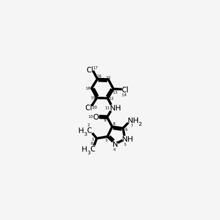 CC(C)c1n[nH]c(N)c1C(=O)Nc1c(Cl)cc(Cl)cc1Cl